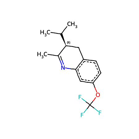 CC1=Nc2cc(OC(F)(F)F)ccc2C[C@@H]1C(C)C